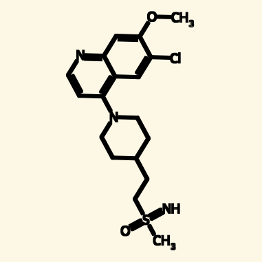 COc1cc2nccc(N3CCC(CCS(C)(=N)=O)CC3)c2cc1Cl